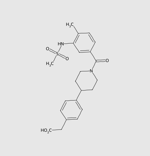 Cc1ccc(C(=O)N2CCC(c3ccc(CC(=O)O)cc3)CC2)cc1NS(C)(=O)=O